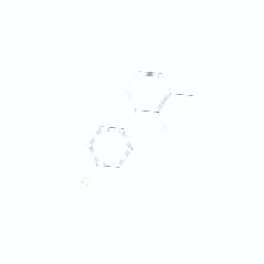 CC1=C(C)C(c2ccc(N)cc2)CC=C1